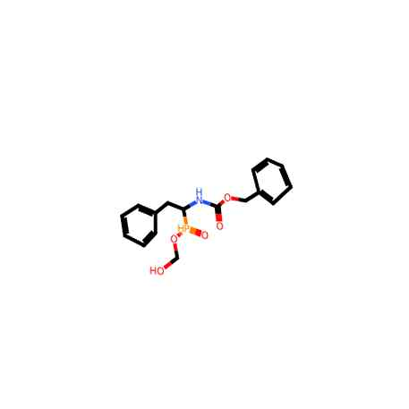 O=C(NC(Cc1ccccc1)[PH](=O)OCO)OCc1ccccc1